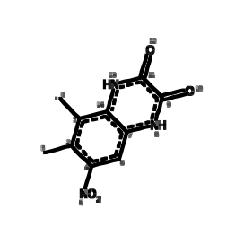 [CH2]c1c(C)c([N+](=O)[O-])cc2[nH]c(=O)c(=O)[nH]c12